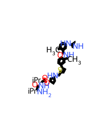 Cc1ccc(NC2CNC2)cc1C(=O)NC(C)c1cccc(-c2ccc(CN[C@H]3CC[C@@H](OC(=O)C(NC(=O)C(N)C(C)C)C(C)C)C3)s2)c1